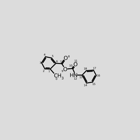 Cc1ccccc1C(=O)OC(=O)Nc1ccccc1